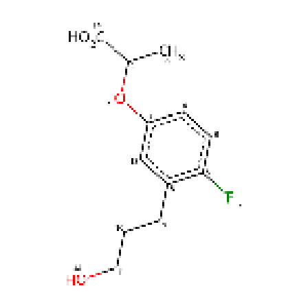 CC(Oc1ccc(F)c(CCCO)c1)C(=O)O